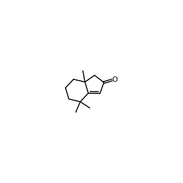 CC1(C)CCCC2(C)CC(=O)C=C12